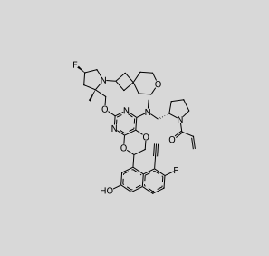 C#Cc1c(F)ccc2cc(O)cc(C3COc4c(nc(OC[C@]5(C)C[C@@H](F)CN5C5CC6(CCOCC6)C5)nc4N(C)C[C@@H]4CCCN4C(=O)C=C)O3)c12